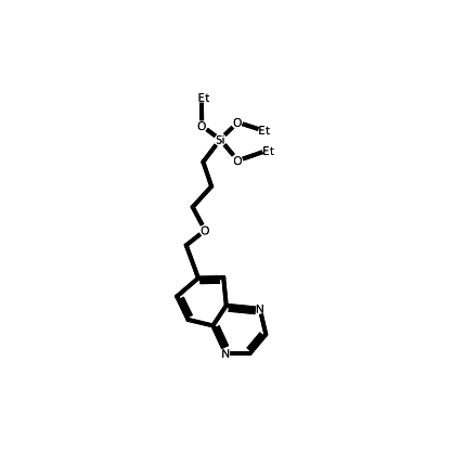 CCO[Si](CCCOCc1ccc2nccnc2c1)(OCC)OCC